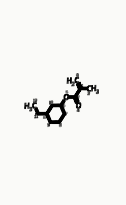 C=C(C)C(=O)OC1CCCC([CH]C)C1